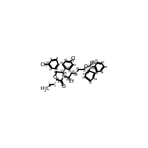 C=CC[C@@H]1O[C@H](c2cccc(Cl)c2)[C@@H](c2ccc(Cl)cc2)N([C@@H](CC)CSCCO[Si](c2ccccc2)(c2ccccc2)C(C)(C)C)C1=O